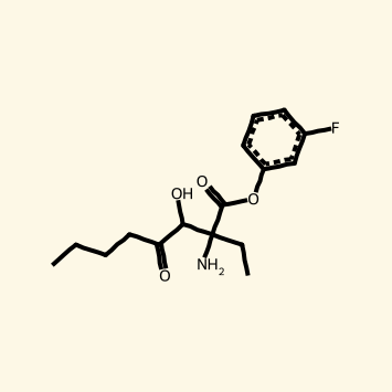 CCCCC(=O)C(O)C(N)(CC)C(=O)Oc1cccc(F)c1